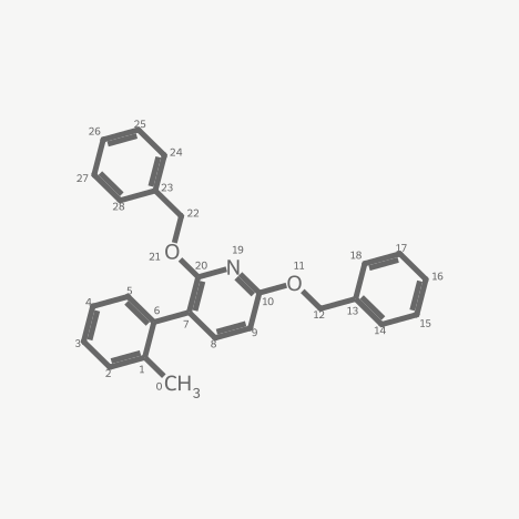 Cc1ccccc1-c1ccc(OCc2ccccc2)nc1OCc1ccccc1